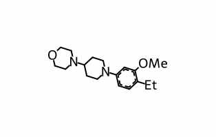 CCc1ccc(N2CCC(N3CCOCC3)CC2)cc1OC